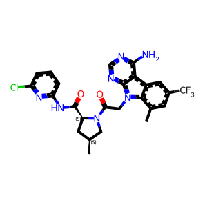 Cc1cc(C(F)(F)F)cc2c3c(N)ncnc3n(CC(=O)N3C[C@@H](C)C[C@H]3C(=O)Nc3cccc(Cl)n3)c12